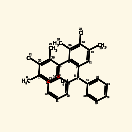 Cc1cc(O)c(-c2c(P(c3ccccc3)c3ccccc3)cc(C)c(Cl)c2C)c(C)c1Cl